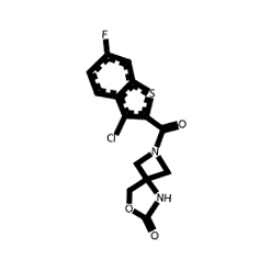 O=C1NC2(CO1)CN(C(=O)c1sc3cc(F)ccc3c1Cl)C2